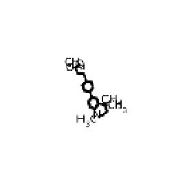 COC(=O)/C=C/c1ccc(-c2ccc3c(c2)C(C)(C)CCN3C)cc1